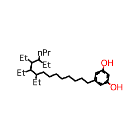 CCCC(CC)C(CC)C(CC)C(CC)CCCCCCCCc1cc(O)cc(O)c1